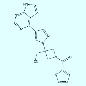 N#CCC1(n2cc(-c3ncnc4[nH]ccc34)cn2)CN(C(=O)c2cccs2)C1